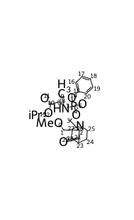 COCC1(COP(=O)(N[C@@H](C)C(=O)OC(C)C)Oc2ccccc2)C(=O)C2CCN1CC2